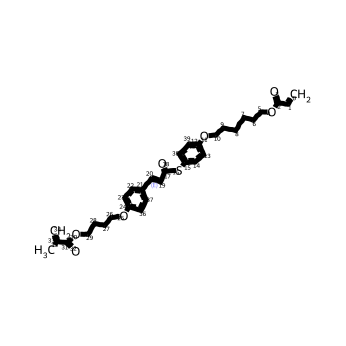 C=CC(=O)OCCCCCCOc1ccc(SC(=O)/C=C/c2ccc(OCCCCOC(=O)C(=C)C)cc2)cc1